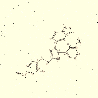 COc1ccc(CNc2nc(-c3ccn4ncnc4c3)c(-c3cccc(C)n3)[nH]2)c(F)c1